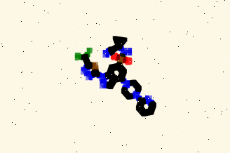 N#CC1(NS(=O)(=O)c2cc(N3CCN(c4ccccn4)CC3)c3cnn(-c4nnc(C(F)F)s4)c3c2)CC1